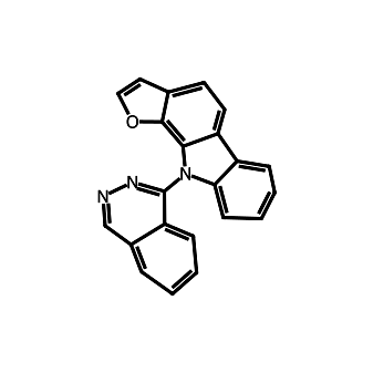 c1ccc2c(-n3c4ccccc4c4ccc5ccoc5c43)nncc2c1